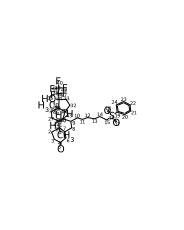 C[C@]12CCC(=O)C=C1CC(CCCCCCS(=O)(=O)c1ccccc1)[C@@H]1[C@H]2CC[C@@]2(C)[C@H]1CCC2(O)C(F)(F)C(F)(F)F